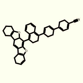 N#CC1=CC=C(C2=CC=C(C3=c4ccccc4=C(C4=c5oc6c(c5=CC5C7=C(CCCC7)OC45)CCC=C6)CC3)CC2)CC1